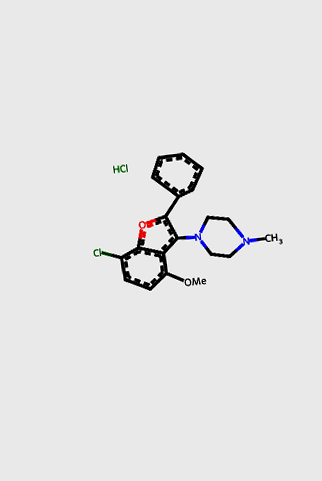 COc1ccc(Cl)c2oc(-c3ccccc3)c(N3CCN(C)CC3)c12.Cl